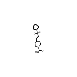 O=C(O)N1CCC(C=CS(=O)(=O)c2ccccc2)CC1